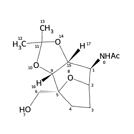 CC(=O)N[C@H]1C2CC[C@](CO)(O2)[C@@H]2OC(C)(C)O[C@@H]21